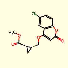 COC(=O)[C@@H]1C[C@H]1COc1cc(=O)oc2ccc(Cl)cc12